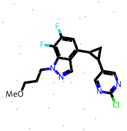 COCCCn1ncc2c(C3CC3c3cnc(Cl)nc3)cc(F)c(F)c21